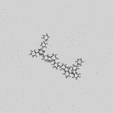 c1ccc(-c2ccc(-c3nc(-c4ccccc4)nc(-c4ccc5oc6c(-c7cccc(-c8ccc9oc%10c(-n%11c%12ccccc%12c%12cc(-c%13ccccc%13)ccc%12%11)cccc%10c9c8)c7)cccc6c5c4)n3)cc2)cc1